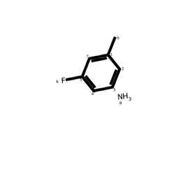 Cc1cccc(F)c1.N